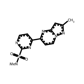 CNS(=O)(=O)c1nccc(-c2ccn3nc(C)cc3n2)n1